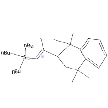 CCC[CH2][Sn](/[CH]=C(\C)C1CC(C)(C)c2ccccc2C1(C)C)([CH2]CCC)[CH2]CCC